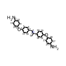 C/C(=C\c1ccc(Oc2ccc(N)cc2)cc1)c1ccc(Oc2ccc(N)cc2)cc1